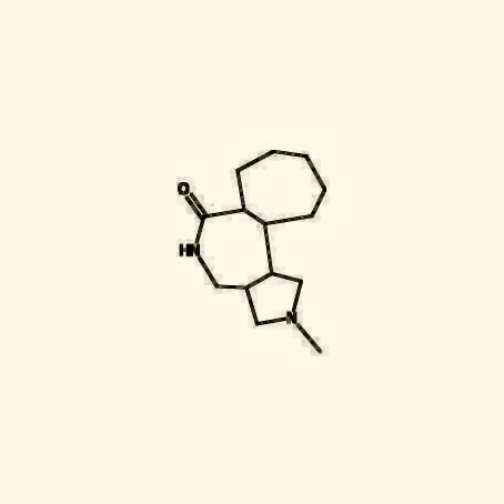 CN1CC2CNC(=O)C3CCCCCC3C2C1